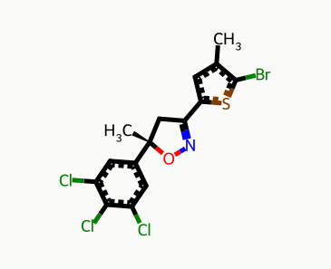 Cc1cc(C2=NO[C@](C)(c3cc(Cl)c(Cl)c(Cl)c3)C2)sc1Br